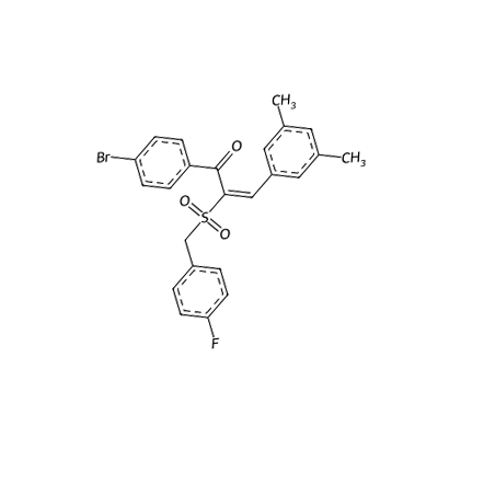 Cc1cc(C)cc(/C=C(\C(=O)c2ccc(Br)cc2)S(=O)(=O)Cc2ccc(F)cc2)c1